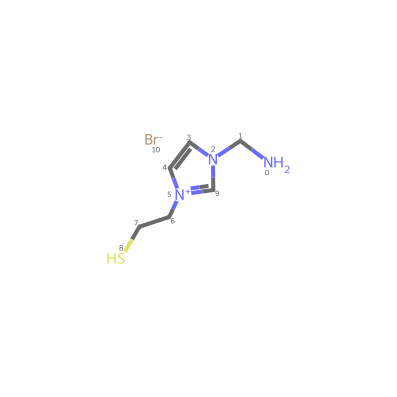 NCn1cc[n+](CCS)c1.[Br-]